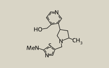 CNc1ncc(CN2CC(c3cnccc3CO)CC2C)s1